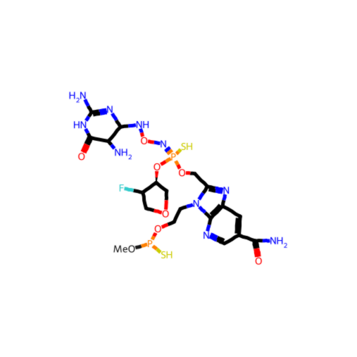 COP(S)OCCn1c(COP(S)(=NONC2N=C(N)NC(=O)C2N)O[C@H]2COCC2F)nc2cc(C(N)=O)cnc21